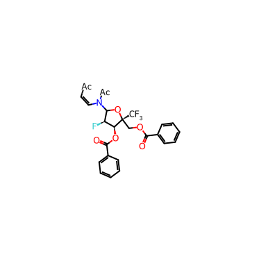 CC(=O)/C=C\N(C(C)=O)C1O[C@@](COC(=O)c2ccccc2)(C(F)(F)F)[C@@H](OC(=O)c2ccccc2)[C@H]1F